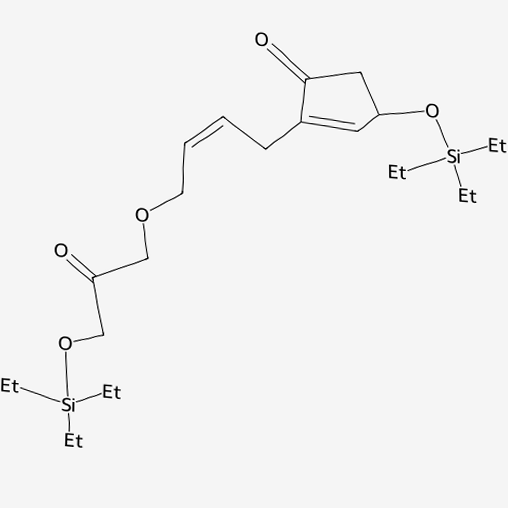 CC[Si](CC)(CC)OCC(=O)COC/C=C\CC1=CC(O[Si](CC)(CC)CC)CC1=O